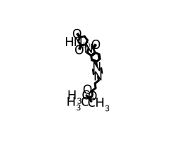 CC(C)(C)OC(=O)CCCN1CCN(c2ccc3c(c2)CN([C@H]2CCC(=O)NC2=O)C3=O)CC1